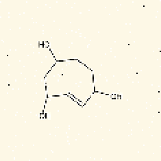 OC1/C=C/C(O)CC(O)CC1